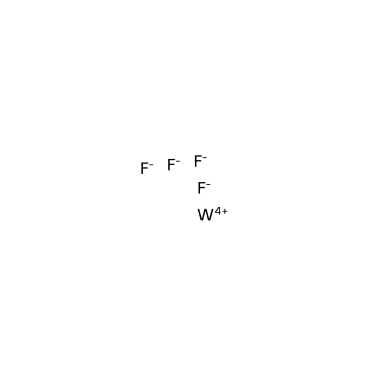 [F-].[F-].[F-].[F-].[W+4]